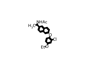 CCOc1ccc(Oc2ccc3cc(C(C)NC(C)=O)ccc3c2)c(Cl)c1